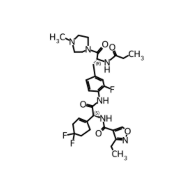 CCC(=O)N[C@H](Cc1ccc(NC(=O)[C@@H](NC(=O)c2conc2CC)C2=CCC(F)(F)CC2)c(F)c1)C(=O)N1CCN(C)CC1